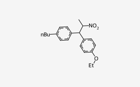 CCCCc1ccc(C(c2ccc(OCC)cc2)C(C)[N+](=O)[O-])cc1